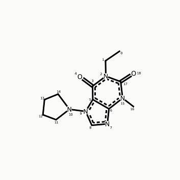 CCn1c(=O)c2c(ncn2N2CCCC2)n(C)c1=O